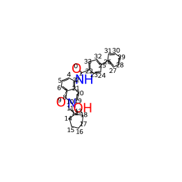 O=C(Nc1cccc2c(=O)n(CC3(O)CCCCC3)ccc12)c1ccc(-c2ccccc2)cc1